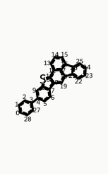 c1ccc(-c2ccc3c(c2)sc2c4cccc5c4c(cc32)-c2ccccc2-5)cc1